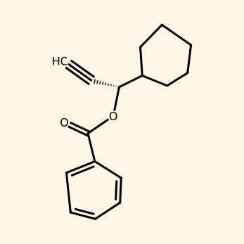 C#C[C@@H](OC(=O)c1ccccc1)C1CCCCC1